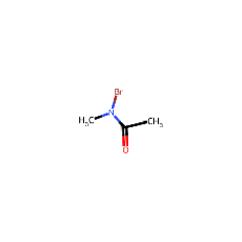 CC(=O)N(C)Br